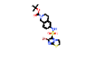 CC(C)(C)OC(=O)N1CCc2cc(NS(=O)(=O)c3c(Br)nc4n3CCS4)ccc2C1